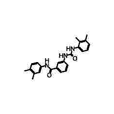 Cc1ccc(NC(=O)c2cccc(NC(=O)Nc3cccc(C)c3C)c2)cc1C